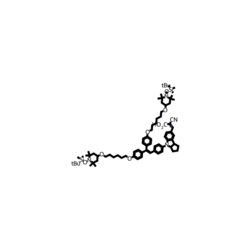 CC1(C)CC(OCCCCCCOc2ccc(C(=Cc3ccc(N4c5ccc(/C=C(/C#N)C(=O)O)cc5C5CCCC54)cc3)c3ccc(OCCCCCCOC4CC(C)(C)N(O[Si](C)(C)C(C)(C)C)C(C)(C)C4)cc3)cc2)CC(C)(C)N1O[Si](C)(C)C(C)(C)C